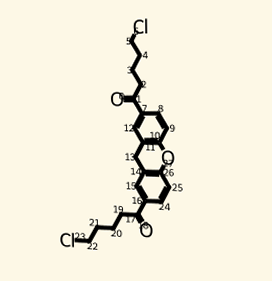 O=C(CCCCCl)c1ccc2c(c1)Cc1cc(C(=O)CCCCCl)ccc1O2